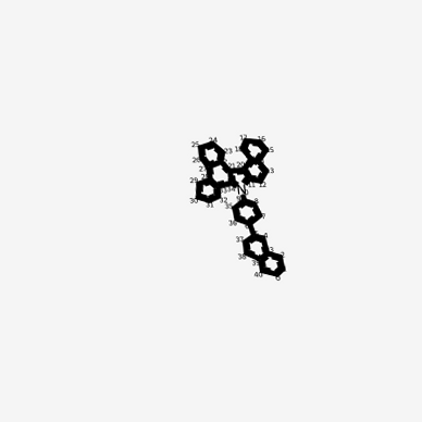 c1ccc2cc(-c3ccc(-n4c5ccc6ccccc6c5c5c6ccccc6c6ccccc6c54)cc3)ccc2c1